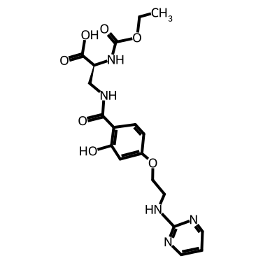 CCOC(=O)N[C@@H](CNC(=O)c1ccc(OCCNc2ncccn2)cc1O)C(=O)O